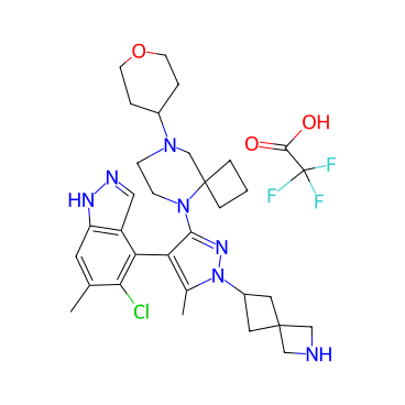 Cc1cc2[nH]ncc2c(-c2c(N3CCN(C4CCOCC4)CC34CCC4)nn(C3CC4(CNC4)C3)c2C)c1Cl.O=C(O)C(F)(F)F